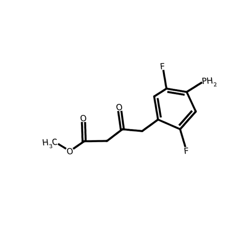 COC(=O)CC(=O)Cc1cc(F)c(P)cc1F